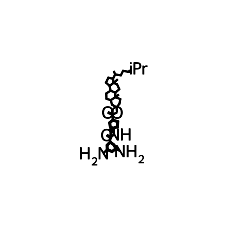 CC(C)CCCC(C)C1CCC2C3CCC4CC(OC(=O)c5ccc(NC(=O)c6cc(N)cc(N)c6)cc5)CCC4(C)C3CCC12C